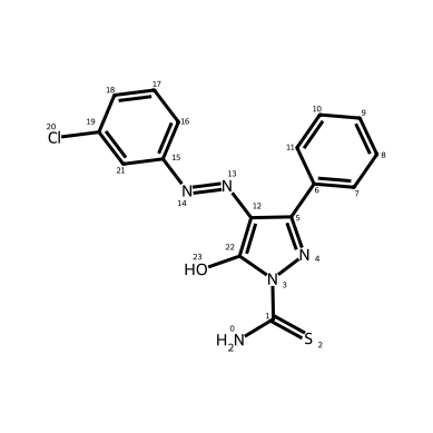 NC(=S)n1nc(-c2ccccc2)c(/N=N/c2cccc(Cl)c2)c1O